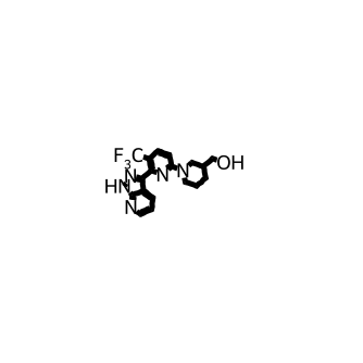 OCC1CCCN(c2ccc(C(F)(F)F)c(-c3n[nH]c4ncccc34)n2)C1